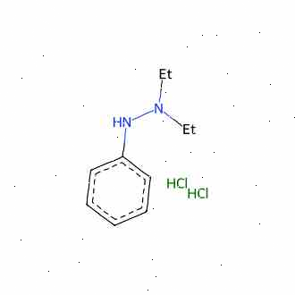 CCN(CC)Nc1ccccc1.Cl.Cl